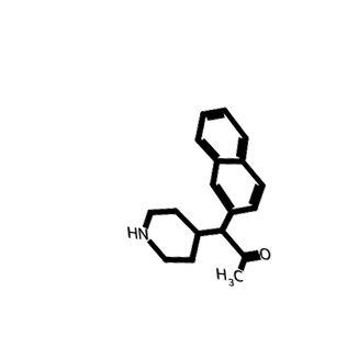 CC(=O)C(c1ccc2ccccc2c1)C1CCNCC1